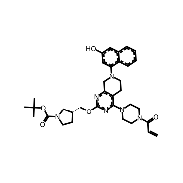 C=CC(=O)N1CCN(c2nc(OC[C@@H]3CCN(C(=O)OC(C)(C)C)C3)nc3c2CCN(c2cc(O)cc4ccccc24)C3)CC1